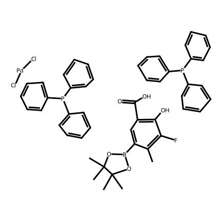 Cc1c(B2OC(C)(C)C(C)(C)O2)cc(C(=O)O)c(O)c1F.[Cl][Pd][Cl].c1ccc(P(c2ccccc2)c2ccccc2)cc1.c1ccc(P(c2ccccc2)c2ccccc2)cc1